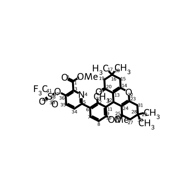 COC(=O)c1nc(-c2ccc(OC)c(C3C4=C(CC(C)(C)CC4=O)OC4=C3C(=O)CC(C)(C)C4)c2C)ccc1OS(=O)(=O)C(F)(F)F